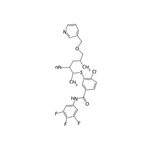 CCCC(CC(C)COCc1cccnc1)C(C)Sc1cc(C(=O)Nc2cc(F)c(F)c(F)c2)ccc1Cl